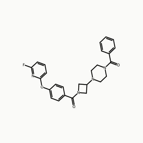 O=C(c1ccccc1)N1CCN(C2CN(C(=O)c3ccc(Oc4cccc(F)n4)cc3)C2)CC1